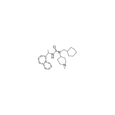 CC(NC(=O)N(CC1CCCCC1)C1CCN(C)CC1)c1cccc2ccccc12